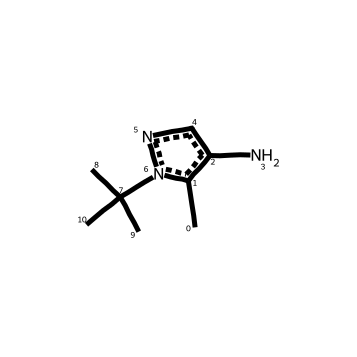 Cc1c(N)cnn1C(C)(C)C